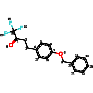 O=C(CCc1ccc(OCc2ccccc2)cc1)C(F)(F)F